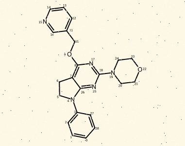 c1ccc(N2CCc3c(OCc4cccnc4)nc(N4CCOCC4)nc32)cc1